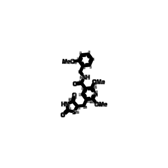 COc1ccccc1CNC(=O)c1cc(CC2SC(=O)NC2=O)c(OC)nc1OC